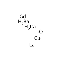 [BaH2].[CaH2].[Cu].[Gd].[La].[O]